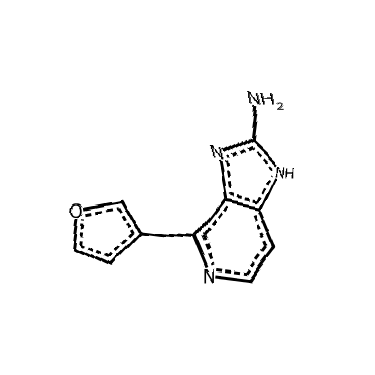 Nc1nc2c(-c3ccoc3)nccc2[nH]1